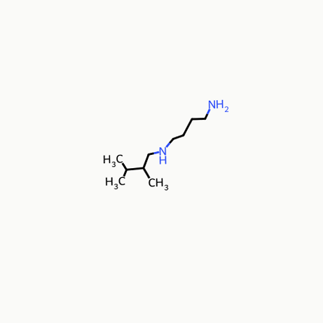 CC(C)C(C)CNCCCCN